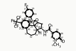 Cn1cc(C(=O)N[C@@H]2CC[C@@]3(S(=O)(=O)c4ccc(F)cc4)c4ccc(C(F)(C(F)(F)F)C(F)(F)F)cc4CCC[C@@H]23)ccc1=O